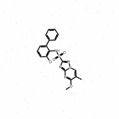 COc1nc2nc(S(=O)(=O)Nc3c(Cl)cccc3-c3ccccc3)nn2cc1C